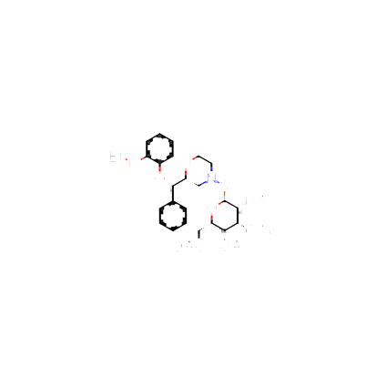 CCOc1ccccc1O[C@@H](c1ccccc1)[C@@H]1CN(S[C@@H]2O[C@H](COC(C)=O)[C@@H](OC(C)=O)[C@H](OC(C)=O)[C@H]2OC(C)=O)CCO1